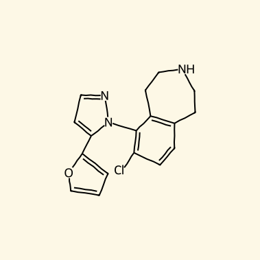 Clc1ccc2c(c1-n1nccc1-c1ccco1)CCNCC2